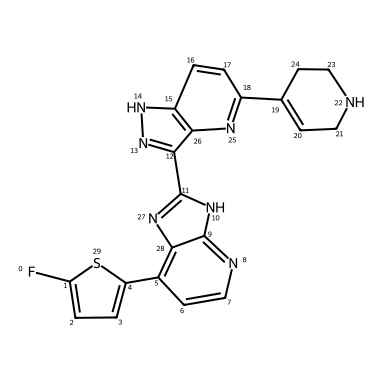 Fc1ccc(-c2ccnc3[nH]c(-c4n[nH]c5ccc(C6=CCNCC6)nc45)nc23)s1